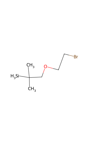 CC(C)([SiH3])COCCBr